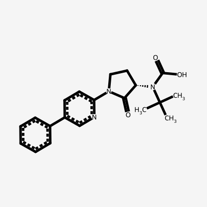 CC(C)(C)N(C(=O)O)[C@H]1CCN(c2ccc(-c3ccccc3)cn2)C1=O